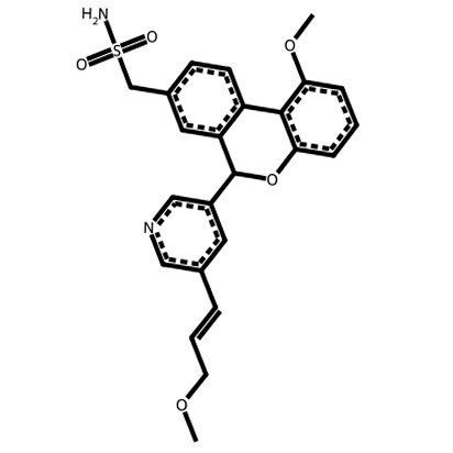 COCC=Cc1cncc(C2Oc3cccc(OC)c3-c3ccc(CS(N)(=O)=O)cc32)c1